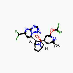 Cc1cc(C(=O)N2[C@H]3CC[C@H](c4cc(C(F)F)nc5ncnn45)[C@@H]2CC3)cc(OC(F)F)n1